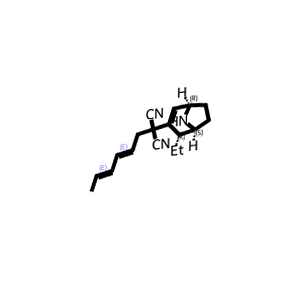 C/C=C/C=C/CC(C#N)(C#N)C1=C[C@H]2CC[C@H](N2)[C@@H]1CC